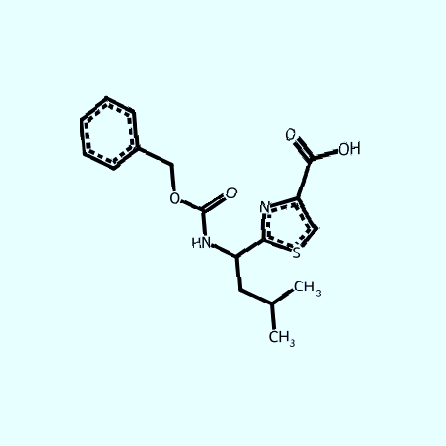 CC(C)CC(NC(=O)OCc1ccccc1)c1nc(C(=O)O)cs1